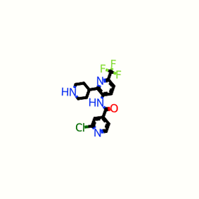 O=C(Nc1ccc(C(F)(F)F)nc1C1CCNCC1)c1ccnc(Cl)c1